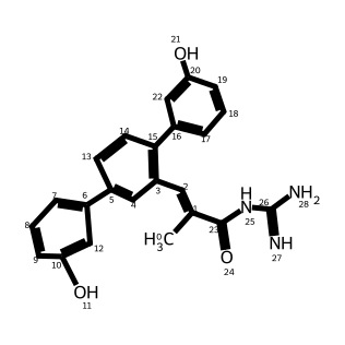 C/C(=C\c1cc(-c2cccc(O)c2)ccc1-c1cccc(O)c1)C(=O)NC(=N)N